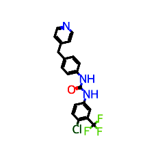 O=C(Nc1ccc(Cc2ccncc2)cc1)Nc1ccc(Cl)c(C(F)(F)F)c1